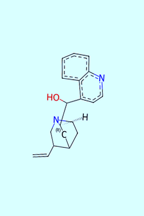 C=CC1CN2CCC1C[C@@H]2C(O)c1ccnc2ccccc12